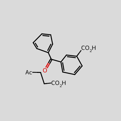 CC(=O)CCC(=O)O.O=C(O)c1cccc(C(=O)c2ccccc2)c1